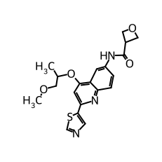 COCC(C)Oc1cc(-c2cncs2)nc2ccc(NC(=O)C3COC3)cc12